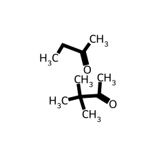 CC(=O)C(C)(C)C.CCC(C)=O